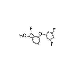 OC1c2cccc(Oc3cc(F)cc(F)c3)c2C1F